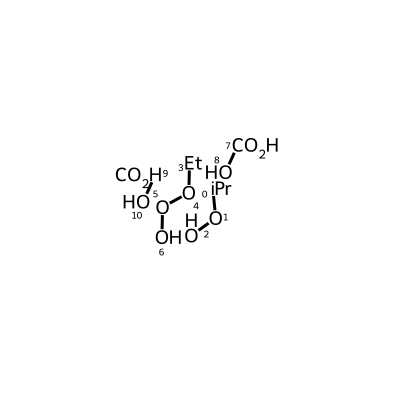 CC(C)OO.CCOOO.O=C(O)O.O=C(O)O